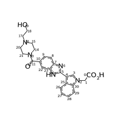 O=C(O)Cn1cc(-c2nc3ccc(C(=O)N4CCN(CCO)CC4)cc3[nH]2)c2ccccc21